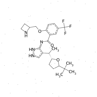 CC(c1c[nH][nH]/c1=N/C(=O)c1cc(C(F)(F)F)ccc1OCC1CCN1)[C@H]1CCC(C(C)(C)C)O1